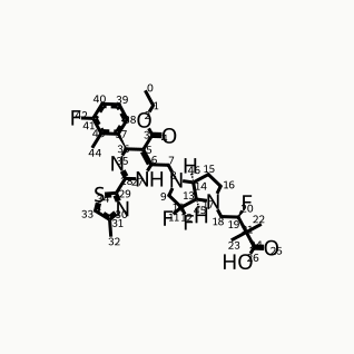 CCOC(=O)C1=C(CN2CC(F)(F)[C@H]3[C@@H]2CCN3C[C@@H](F)C(C)(C)C(=O)O)NC(c2nc(C)cs2)=N[C@H]1c1cccc(F)c1C